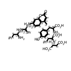 CC(C)C(N)C(=O)O.CC(C)CC(N)C(=O)O.CC(C)CC(N)C(=O)O.Cc1cc(=O)oc2cc(N)ccc12.NC(Cc1ccc(O)cc1)C(=O)O.O=C(O)CCC(=O)O